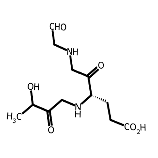 CC(O)C(=O)CN[C@@H](CCC(=O)O)C(=O)CNCC=O